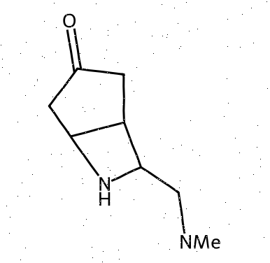 CNCC1NC2CC(=O)CC12